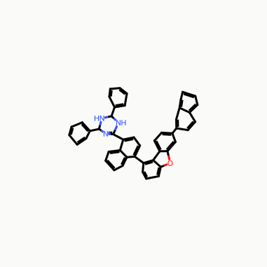 c1ccc(C2N=C(c3ccc(-c4cccc5oc6cc(-c7ccc8ccccc8c7)ccc6c45)c4ccccc34)NC(c3ccccc3)N2)cc1